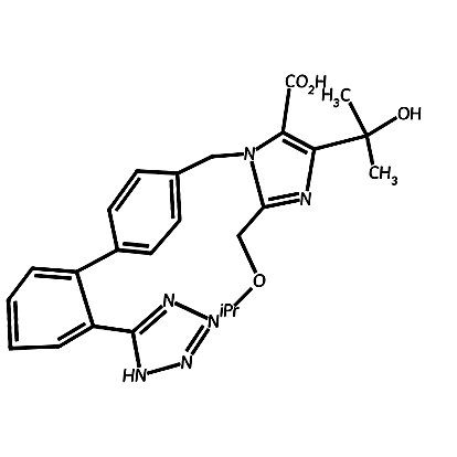 CC(C)OCc1nc(C(C)(C)O)c(C(=O)O)n1Cc1ccc(-c2ccccc2-c2nnn[nH]2)cc1